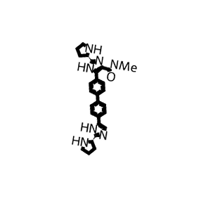 CNC(=O)c1nc([C@@H]2CCCN2)[nH]c1-c1ccc(-c2ccc(-c3cnc([C@@H]4CCCN4)[nH]3)cc2)cc1